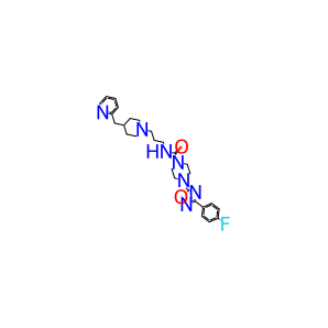 O=C(NCCCN1CCC(Cc2ccccn2)CC1)N1CCN(c2nc(-c3ccc(F)cc3)no2)CC1